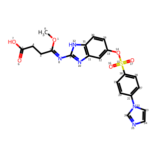 COC(CCC(=O)O)=Nc1nc2cc(OS(=O)(=O)c3ccc(-n4ccnc4)cc3)ccc2[nH]1